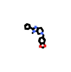 Cn1c(-c2ccccc2)nc2c1CN(Cc1ccc3c(c1)OCO3)CC2